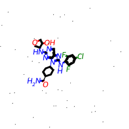 NC(=O)[C@H]1CC[C@H](n2c(Nc3c(F)cc(Cl)cc3F)nc3cnc(NC4COCC4O)nc32)CC1